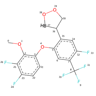 COc1c(Oc2cc(C(F)(F)F)c(F)cc2C2BOOC2)ccc(F)c1F